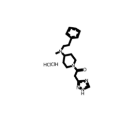 CN(CCc1ccccc1)C1CCN(C(=O)Cc2nc[nH]n2)CC1.Cl.Cl